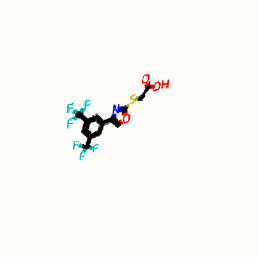 O=C(O)CSc1nc(-c2cc(C(F)(F)F)cc(C(F)(F)F)c2)co1